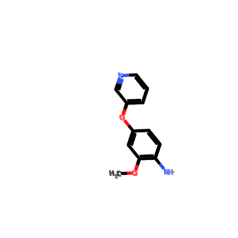 COc1cc(Oc2cccnc2)ccc1[NH]